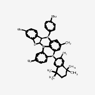 Cc1cc2c3c(c1)N(c1ccc(C(C)(C)C)cc1)C1c4ccc(C(C)(C)C)cc4OC1B3c1cc(C(C)(C)C)ccc1N2c1cc2c(cc1C)C(C)(C)CCC2(C)C